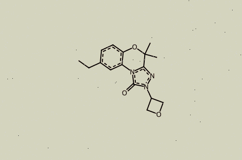 CCc1ccc2c(c1)-n1c(nn(C3COC3)c1=O)C(C)(C)O2